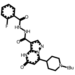 CC(C)(C)N1CCC(c2cc(=O)[nH]c3c(C(=O)NNC(=O)c4ccccc4F)cnn23)CC1